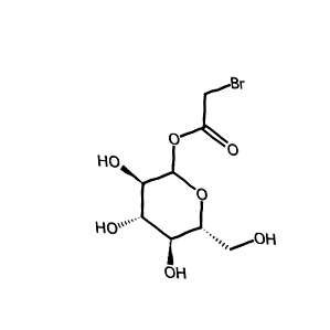 O=C(CBr)OC1O[C@H](CO)[C@@H](O)[C@H](O)[C@H]1O